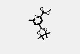 COC(=O)c1cc(B2OC(C)(C)C(C)(C)O2)cc(C)n1